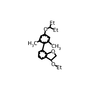 CCO[C@@H]1COc2c(-c3c(C)cc(OC(CC)CC)cc3C)cccc21